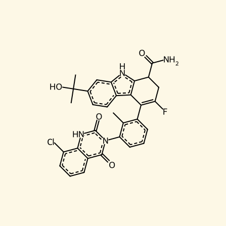 Cc1c(C2=C(F)CC(C(N)=O)c3[nH]c4cc(C(C)(C)O)ccc4c32)cccc1-n1c(=O)[nH]c2c(Cl)cccc2c1=O